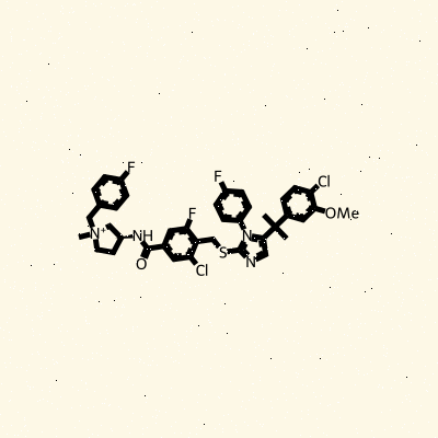 COc1cc(C(C)(C)c2cnc(SCc3c(F)cc(C(=O)N[C@H]4CC[N+](C)(Cc5ccc(F)cc5)C4)cc3Cl)n2-c2ccc(F)cc2)ccc1Cl